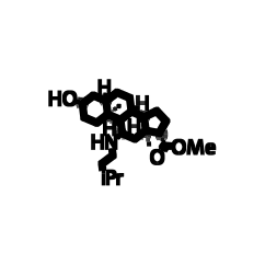 COC(=O)[C@H]1CC[C@H]2[C@@H]3CC[C@@H]4C[C@H](O)CC[C@]4(C)[C@H]3[C@H](NCCC(C)C)C[C@]12C